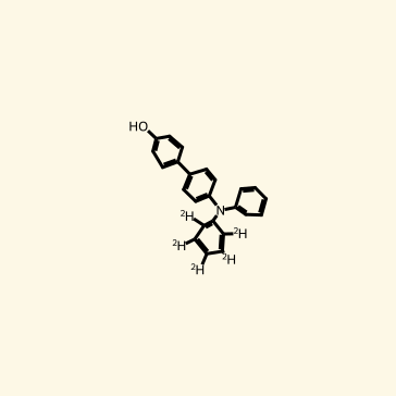 [2H]c1c([2H])c([2H])c(N(c2ccccc2)c2ccc(-c3ccc(O)cc3)cc2)c([2H])c1[2H]